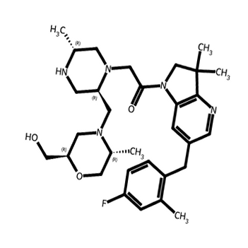 Cc1cc(F)ccc1Cc1cnc2c(c1)N(C(=O)CN1C[C@@H](C)NC[C@@H]1CN1C[C@H](CO)OC[C@H]1C)CC2(C)C